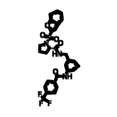 O=C(Nc1cccc(CNC(=O)[C@@H]2CCCN2S(=O)(=O)c2cc3ccccc3o2)c1)c1ccc(C(F)(F)F)cc1